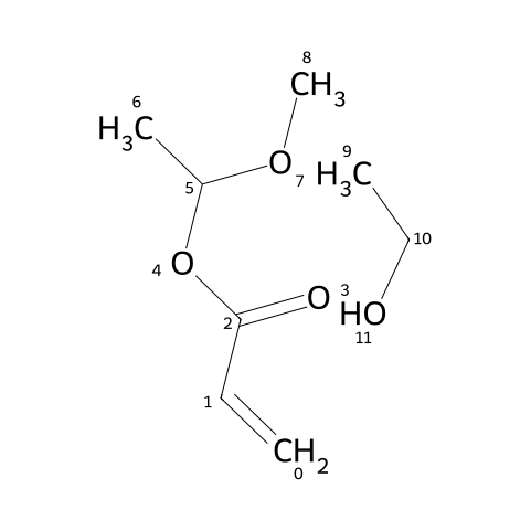 C=CC(=O)OC(C)OC.CCO